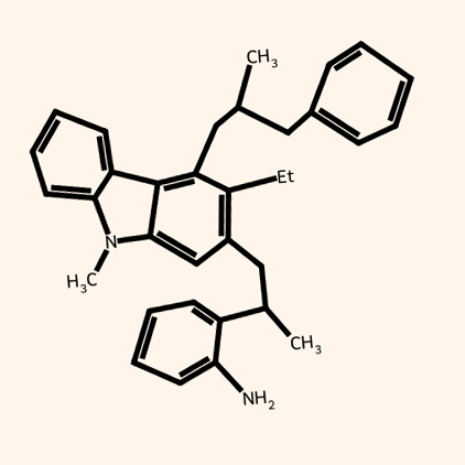 CCc1c(CC(C)c2ccccc2N)cc2c(c1CC(C)Cc1ccccc1)c1ccccc1n2C